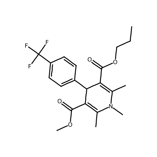 CCCOC(=O)C1=C(C)N(C)C(C)=C(C(=O)OC)C1c1ccc(C(F)(F)F)cc1